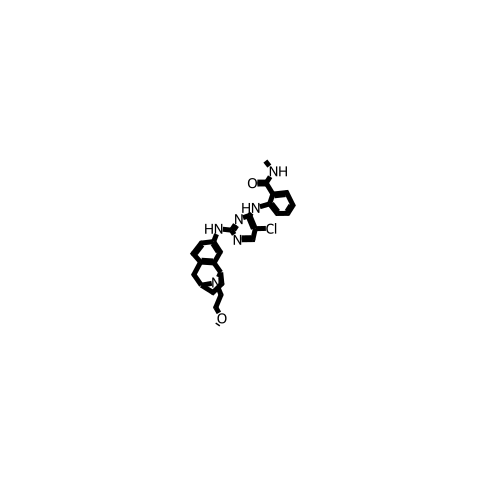 CNC(=O)c1ccccc1Nc1nc(Nc2ccc3c(c2)C2CCC(C3)N2CCOC)ncc1Cl